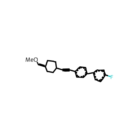 COC=C1CCC(C#Cc2ccc(-c3ccc(F)cc3)cc2)CC1